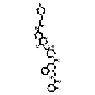 CN1CCN(CCC(=O)Nc2ccc3c(=O)n(CC4(O)CCN(C(=O)C(CCCNC(=O)c5cnccc5Cl)Cc5ccccc5)CC4)cnc3c2)CC1